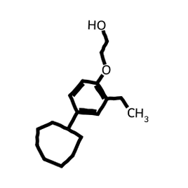 CCc1cc(C2CCCCCCC2)ccc1OCCO